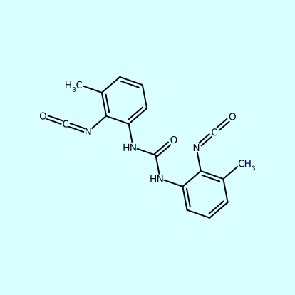 Cc1cccc(NC(=O)Nc2cccc(C)c2N=C=O)c1N=C=O